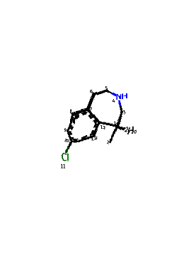 [2H]C1(C)CNCCc2ccc(Cl)cc21